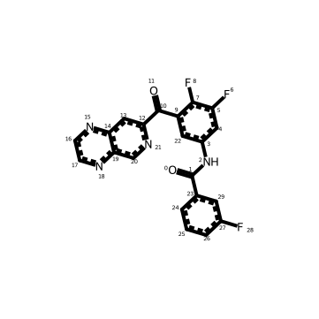 O=C(Nc1cc(F)c(F)c(C(=O)c2cc3nccnc3cn2)c1)c1cccc(F)c1